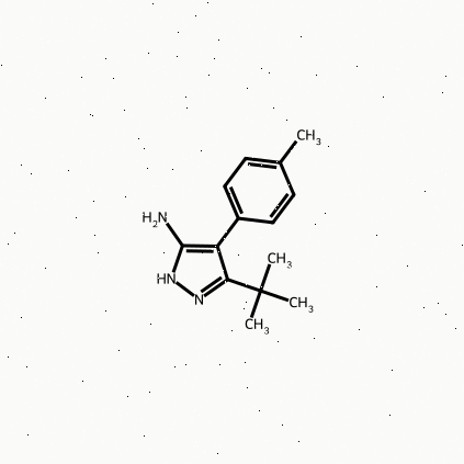 Cc1ccc(-c2c(C(C)(C)C)n[nH]c2N)cc1